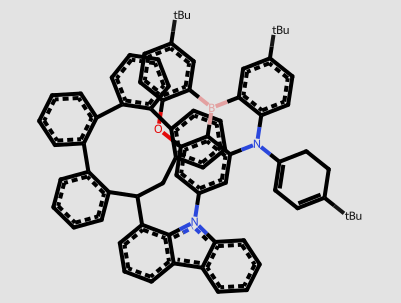 CC(C)(C)C1=CC=C(N2c3ccc(C(C)(C)C)cc3B3c4cc(C(C)(C)C)ccc4Oc4cc(-n5c6ccccc6c6cccc(C7Cc8ccccc8-c8ccccc8-c8ccccc8-c8ccccc87)c65)cc2c43)CC1